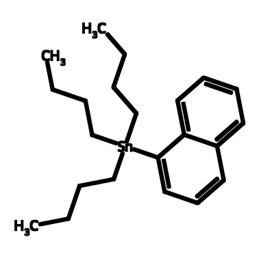 CCC[CH2][Sn]([CH2]CCC)([CH2]CCC)[c]1cccc2ccccc12